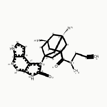 C#CCN(C)C(=O)C12C[C@H]3C[C@@H](C1)CC(n1c(=O)[nH]c4nnc5[nH]ccc5c41)(C3)C2